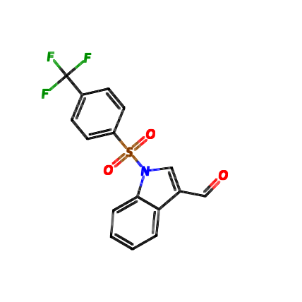 O=Cc1cn(S(=O)(=O)c2ccc(C(F)(F)F)cc2)c2ccccc12